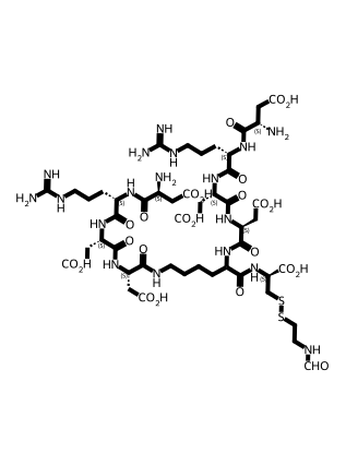 N=C(N)NCCC[C@H](NC(=O)[C@@H](N)CC(=O)O)C(=O)N[C@@H](CC(=O)O)C(=O)N[C@@H](CC(=O)O)C(=O)NCCCCC(NC(=O)[C@H](CC(=O)O)NC(=O)[C@H](CC(=O)O)NC(=O)[C@H](CCCNC(=N)N)NC(=O)[C@@H](N)CC(=O)O)C(=O)N[C@H](CSSCCNC=O)C(=O)O